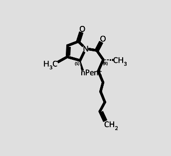 C=CCCCC[C@@H](C)C(=O)N1C(=O)C=C(C)[C@@H]1CCCCC